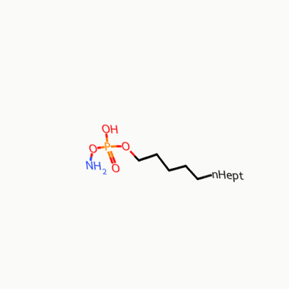 CCCCCCCCCCCCOP(=O)(O)ON